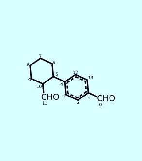 O=Cc1ccc(C2CCCCC2C=O)cc1